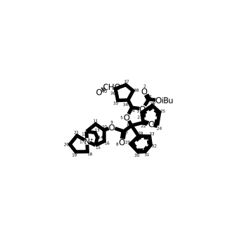 CC(C)COC(=O)OC(OC(C(=O)OC1CC2CCC(C1)[N+]21CCCC1)(c1ccccc1)c1ccccc1)C1CCCC1.O=C[O-]